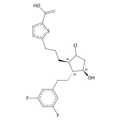 C=C(O)c1ccc(CCC[C@H]2C(Cl)C[C@@H](O)[C@@H]2CCc2cc(F)cc(F)c2)s1